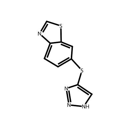 c1nc2ccc(Sc3c[nH]nn3)cc2s1